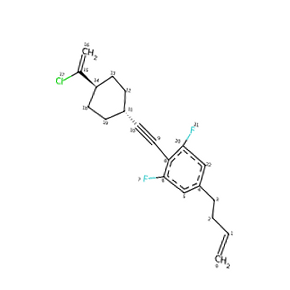 C=CCCc1cc(F)c(C#C[C@H]2CC[C@H](C(=C)Cl)CC2)c(F)c1